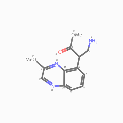 COC(=O)C(CN)c1cccc2ncc(OC)nc12